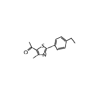 CCc1ccc(-c2nc(C)c(C(C)=O)s2)cc1